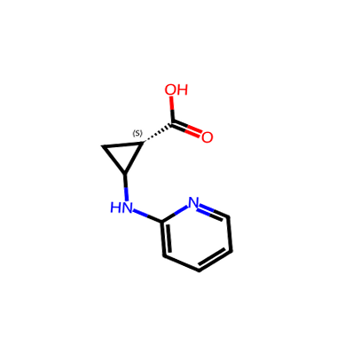 O=C(O)[C@H]1CC1Nc1ccccn1